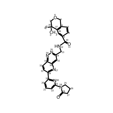 C[C@@]1(F)COCc2ccc(C(=O)NCc3cc4nc(-c5cccc(N6CCCC6=O)n5)ccc4nn3)cc21